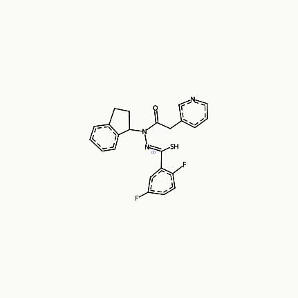 O=C(Cc1cccnc1)N(/N=C(\S)c1cc(F)ccc1F)C1CCc2ccccc21